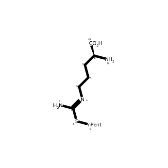 CCCCCSC(N)=NCCC[C@H](N)C(=O)O